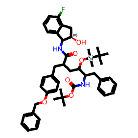 CC(C)(C)OC(=O)NC(Cc1ccccc1)C(CC(Cc1ccc(OCc2ccccc2)cc1)C(=O)NC1c2cccc(F)c2C[C@H]1O)O[Si](C)(C)C(C)(C)C